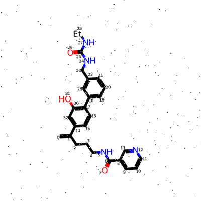 C=C(CCCNC(=O)c1cccnc1)c1ccc(-c2cccc(CNC(=O)NCC)c2)c(O)c1